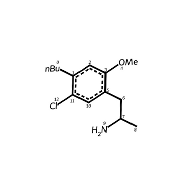 CCCCc1cc(OC)c(CC(C)N)cc1Cl